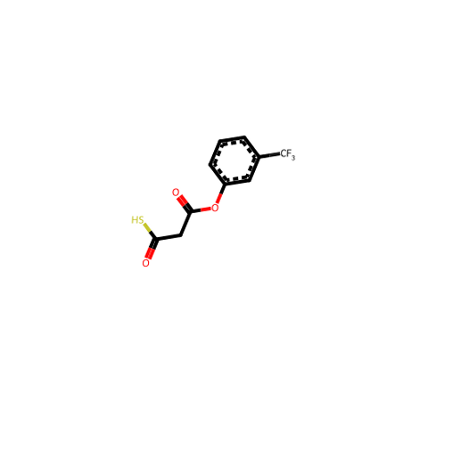 O=C(S)CC(=O)Oc1cccc(C(F)(F)F)c1